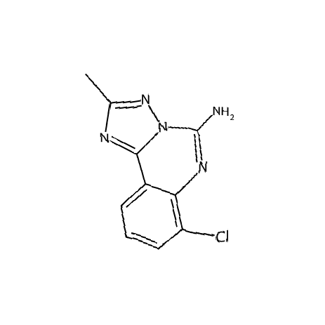 Cc1nc2c3cccc(Cl)c3nc(N)n2n1